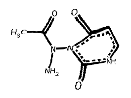 CC(=O)N(N)n1c(=O)cc[nH]c1=O